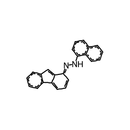 C1=CC(=NNc2cccc3ccccc23)C2=Cc3ccccc3C2=C1